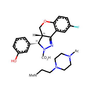 CNCCN1CCN(C(C)=O)CC1.O=C(O)N1N=C2c3cc(F)ccc3OC[C@H]2[C@H]1c1cccc(O)c1